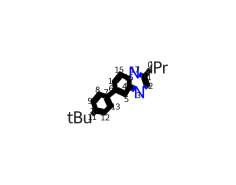 CC(C)c1cnc2cc(-c3ccc(C(C)(C)C)cc3)ccc2n1